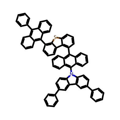 c1ccc(-c2ccc3c(c2)c2cc(-c4ccccc4)ccc2n3-c2c3ccccc3c(-c3cccc4sc5c(-c6c7ccccc7c(-c7ccccc7)c7ccccc67)cccc5c34)c3ccccc23)cc1